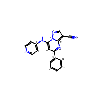 N#Cc1cnn2c(Nc3ccncc3)cc(-c3ccccc3)nc12